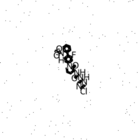 CS(=O)(=O)Nc1ccccc1-c1ccc(N2CCC[C@@H](NC(=O)Nc3cnc(Cl)cn3)C2=O)cc1F